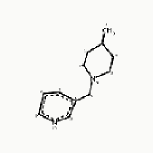 CC1CCN(Cc2cccnc2)CC1